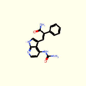 NC(=O)Nc1ccnc2[nH]cc(C=C(C(N)=O)c3ccccc3)c12